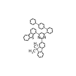 CC1(C)c2ccccc2-c2ccc(-c3nc(-c4ccccc4-c4ccc(-c5ccccc5)cc4)cc(-c4cccc5c4sc4ccccc45)n3)cc21